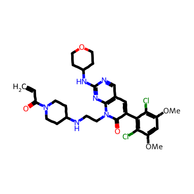 C=CC(=O)N1CCC(NCCn2c(=O)c(-c3c(Cl)c(OC)cc(OC)c3Cl)cc3cnc(NC4CCOCC4)nc32)CC1